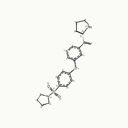 C=C(c1cncc(Oc2ccc(S(=O)(=O)N3CCCC3)cc2)c1)[C@@H]1CCCN1